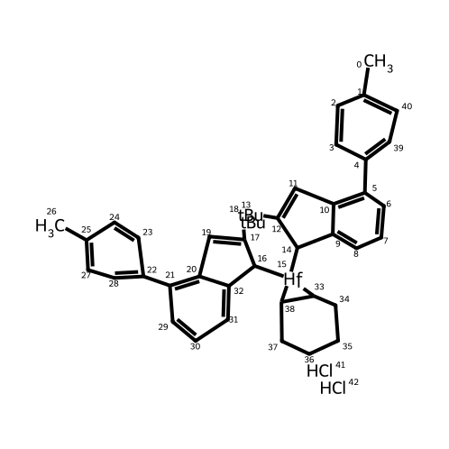 Cc1ccc(-c2cccc3c2C=C(C(C)(C)C)[CH]3[Hf]2([CH]3C(C(C)(C)C)=Cc4c(-c5ccc(C)cc5)cccc43)[CH]3CCCC[CH]32)cc1.Cl.Cl